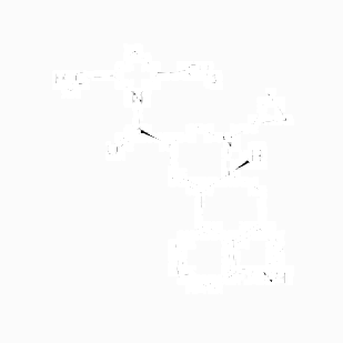 CC1CC(C)N1C(=O)[C@@H]1C=C2c3cccc4[nH]cc(c34)C[C@H]2N(C2CC2)C1